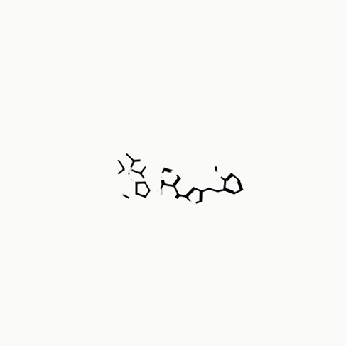 COc1ccccc1CCc1csc(C(=O)c2cncnc2N[C@@H]2C[C@H](CO)[C@@H](O[Si](C(C)C)(C(C)C)C(C)C)C2)c1